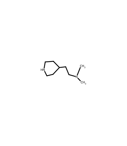 CN(C)CCC1CCNCC1